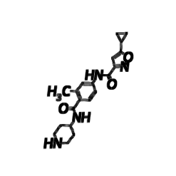 Cc1cc(NC(=O)c2cc(C3CC3)on2)ccc1C(=O)NC1CCNCC1